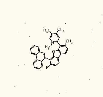 Cc1cc(-c2c(C)ccc3c2oc2c(-c4cc5ccccc5c5ccccc45)c(F)ccc23)[n+](C)cc1C